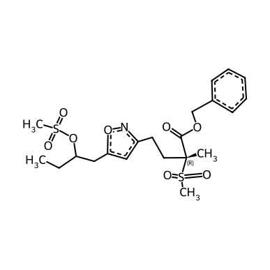 CCC(Cc1cc(CC[C@](C)(C(=O)OCc2ccccc2)S(C)(=O)=O)no1)OS(C)(=O)=O